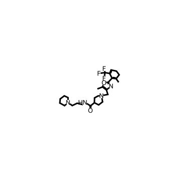 CC1=C(c2nc(CN3CCC(C(=O)NCCCN4CCCCC4)CC3)c(C)o2)C(C(F)(F)F)=CCC1